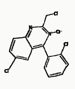 [O-][n+]1c(CCl)nc2ccc(Cl)cc2c1-c1ccccc1Cl